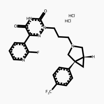 Cl.Cl.O=c1[nH]c(=O)n(CCCN2C[C@@H]3C[C@]3(c3ccc(C(F)(F)F)cc3)C2)nc1-c1cccnc1F